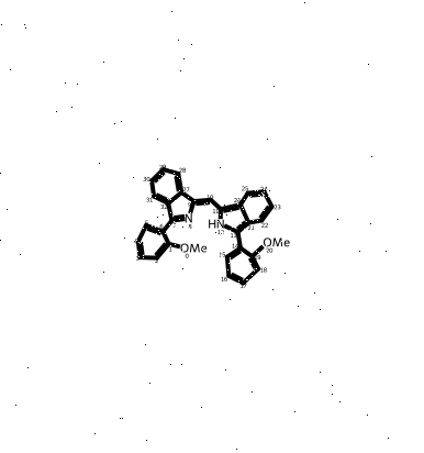 COc1ccccc1C1=N/C(=C\c2[nH]c(-c3ccccc3OC)c3ccccc23)c2ccccc21